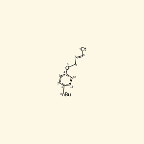 [CH2]CCCc1ccc(OCC=CCC)cc1